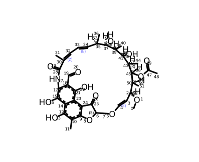 CO[C@H]1/C=C/O[C@@]2(C)Oc3c(C)c(O)c4c(O)c(c(C=O)c(O)c4c3C2=O)NC(=O)/C(C)=C\C=C\[C@@H](C)[C@@H](O)[C@@H](C)[C@H](O)[C@@H](C)[C@H](OC(C)=O)[C@@H]1C